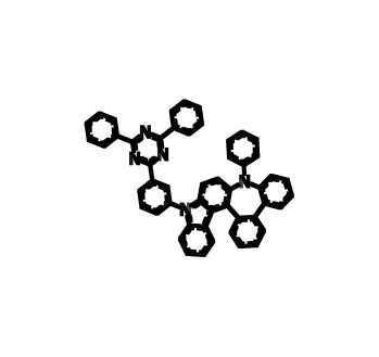 c1ccc(-c2nc(-c3ccccc3)nc(-c3cccc(-n4c5ccccc5c5c6c(ccc54)N(c4ccccc4)c4ccccc4-c4ccccc4-6)c3)n2)cc1